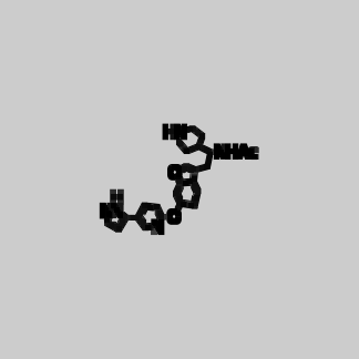 CC(=O)NC(Cc1coc2cc(Oc3ccc(-c4ccn[nH]4)cn3)ccc12)C1CCNCC1